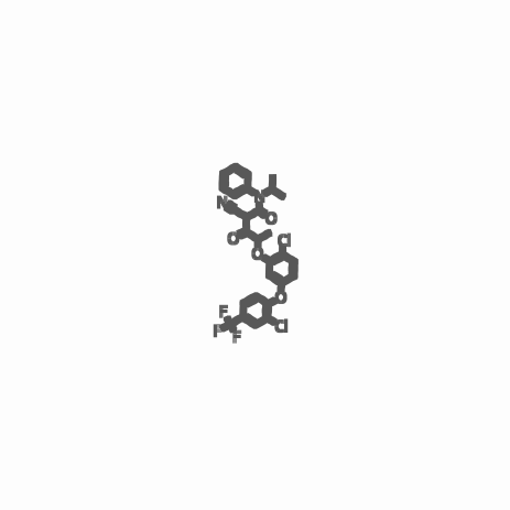 CC(Oc1cc(Oc2ccc(C(F)(F)F)cc2Cl)ccc1Cl)C(=O)C(C#N)C(=O)N(c1ccccc1)C(C)C